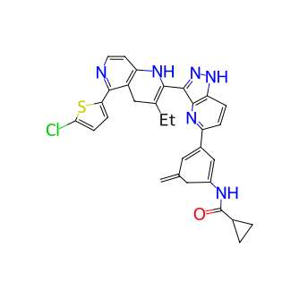 C=C1C=C(c2ccc3[nH]nc(C4=C(CC)Cc5c(ccnc5-c5ccc(Cl)s5)N4)c3n2)C=C(NC(=O)C2CC2)C1